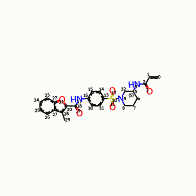 C=CC(=O)N[C@H]1CCCN(S(=O)(=O)c2ccc(NC(=O)c3oc4ccccc4c3C)cc2)C1